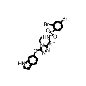 CCn1c(Oc2ccc3cc[nH]c3c2)nnc1[C@@H](C)NS(=O)(=O)c1ccc(Br)cc1Br